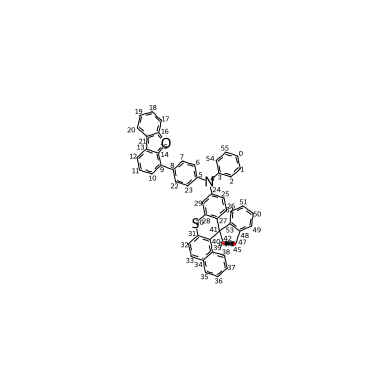 c1ccc(N(c2ccc(-c3cccc4c3oc3ccccc34)cc2)c2ccc3c(c2)Sc2ccc4ccccc4c2C32c3ccccc3-c3ccccc32)cc1